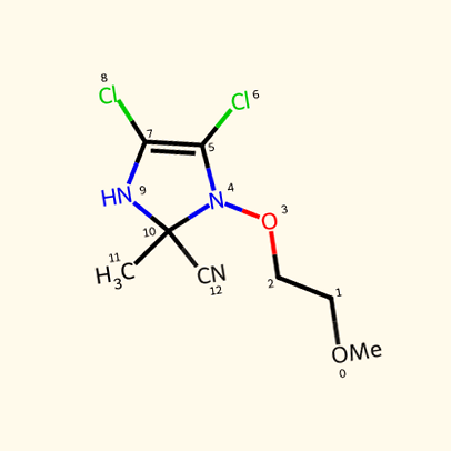 COCCON1C(Cl)=C(Cl)NC1(C)C#N